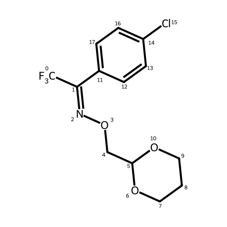 FC(F)(F)C(=NOCC1OCCCO1)c1ccc(Cl)cc1